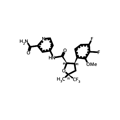 COc1c([C@H]2C[C@@](C)(C(F)(F)F)O[C@H]2C(=O)Nc2ccnc(C(N)=O)c2)ccc(F)c1F